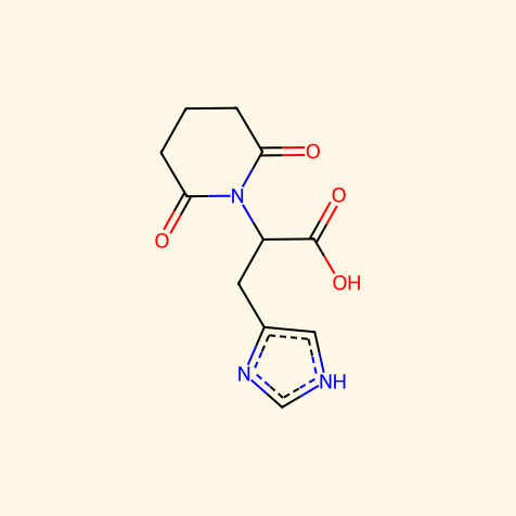 O=C(O)C(Cc1c[nH]cn1)N1C(=O)CCCC1=O